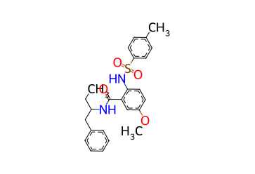 CCC(Cc1ccccc1)NC(=O)c1cc(OC)ccc1NS(=O)(=O)c1ccc(C)cc1